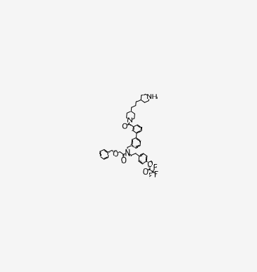 O=C(COCc1ccccc1)N(CCc1ccc(OC(=O)C(F)(F)F)cc1)Cc1cccc(-c2cccc(C(=O)N3CCC(CCCC4CCNCC4)CC3)c2)c1